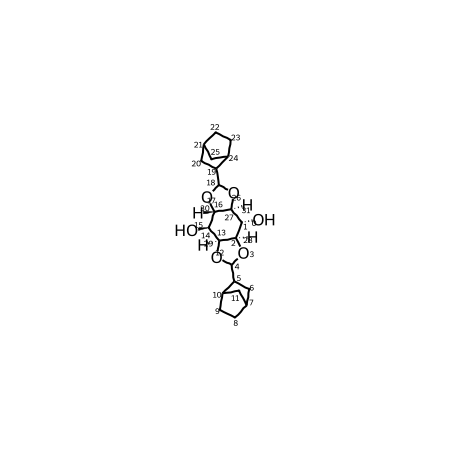 O[C@@H]1[C@H]2OC(C3CC4CCC3C4)O[C@H]2[C@@H](O)[C@@H]2OC(C3CC4CCC3C4)O[C@@H]12